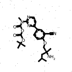 CC(C)CC(C)(N)COc1ccc(-c2ccnc(N(C)C(=O)OC(=O)OC(C)(C)C)n2)cc1C#N